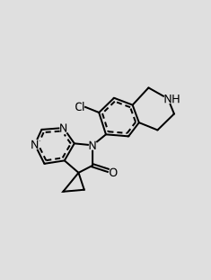 O=C1N(c2cc3c(cc2Cl)CNCC3)c2ncncc2C12CC2